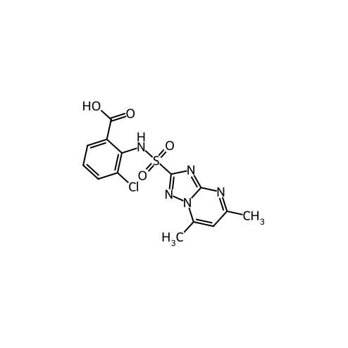 Cc1cc(C)n2nc(S(=O)(=O)Nc3c(Cl)cccc3C(=O)O)nc2n1